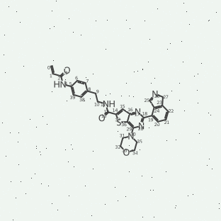 C=CC(=O)Nc1ccc(CCNC(=O)c2cc3nc(-c4cccc5c4C=NC5)nc(N4CCOCC4)c3s2)cc1